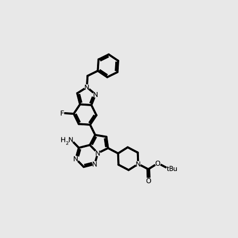 CC(C)(C)OC(=O)N1CCC(c2cc(-c3cc(F)c4cn(Cc5ccccc5)nc4c3)c3c(N)ncnn23)CC1